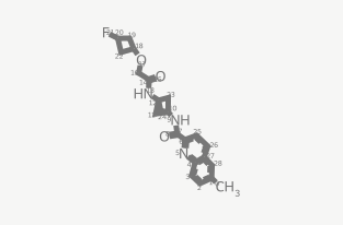 Cc1ccc2nc(C(=O)NC34CC(NC(=O)COC5CC(F)C5)(C3)C4)ccc2c1